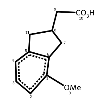 COc1cccc2c1CC(CC(=O)O)C2